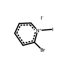 Brc1cccc[n+]1I.[I-]